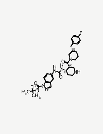 CC(C)(C)OC(=O)n1ncc2cc(NC(=O)N[C@@H]3CCNC[C@@H]3C(=O)N3CCC[C@@H](Cc4ccc(F)cc4)C3)ccc21